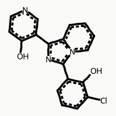 Oc1ccncc1-c1nc(-c2cccc(Cl)c2O)n2ccccc12